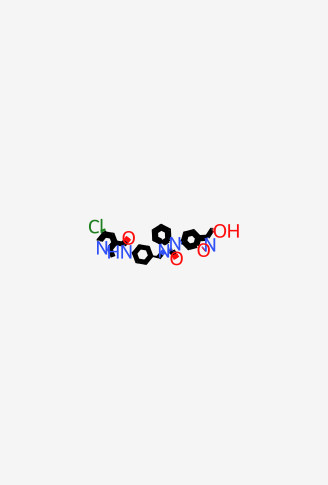 Cc1ncc(Cl)cc1C(=O)N[C@H]1CC[C@H](Cn2c(=O)n(-c3ccc4c(CO)noc4c3)c3ccccc32)CC1